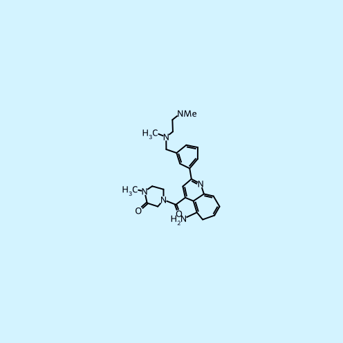 CNCCN(C)Cc1cccc(-c2cc(C(=O)N3CCN(C)C(=O)C3)c3c(n2)=CC=CCC=3N)c1